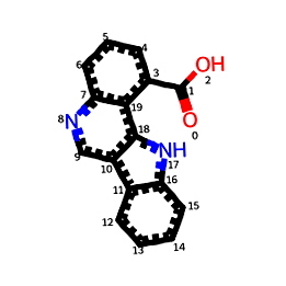 O=C(O)c1cccc2ncc3c4ccccc4[nH]c3c12